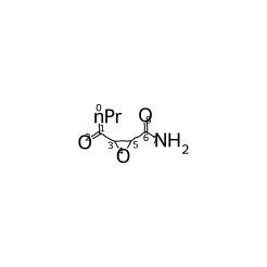 CCCC(=O)C1OC1C(N)=O